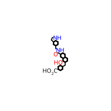 O=C(O)c1ccc(Cc2ccc3ccc(C(=O)NCc4ccc5c(c4)CCN5)cc3c2O)cc1